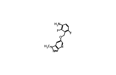 Cn1ncc2ncc(OCc3c(F)ccc(N)c3F)cc21